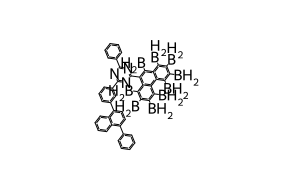 Bc1c(B)c(B)c2c(c1B)c(B)c(-c1nc(-c3ccccc3)nc(-c3cccc(-c4ccc(-c5ccccc5)c5ccccc45)c3)n1)c1c(B)c(B)c(B)c(B)c12